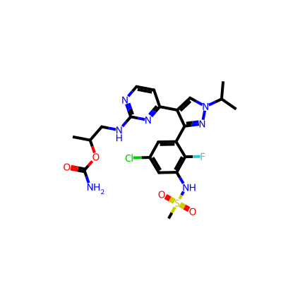 CC(CNc1nccc(-c2cn(C(C)C)nc2-c2cc(Cl)cc(NS(C)(=O)=O)c2F)n1)OC(N)=O